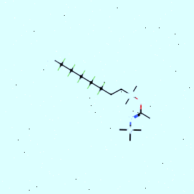 CC(=N[Si](C)(C)C)O[Si](C)(C)CCC(F)(F)C(F)(F)C(F)(F)C(F)(F)C(F)(F)C(F)(F)F